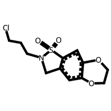 O=S1(=O)c2cc3c(cc2CN1CCCCl)OCCO3